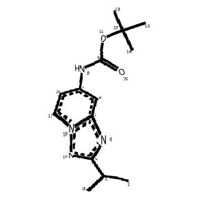 CC(C)c1nc2cc(NC(=O)OC(C)(C)C)ccn2n1